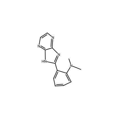 CN(C)c1ccccc1-c1nc2nccnc2[nH]1